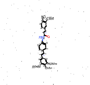 COc1cc(/C=C/C(=O)Nc2ccc(/C=C/c3cc(OC)c(OC)c(OC)c3)cc2)ccc1[N+](=O)[O-]